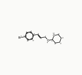 Brc1ccc(C=CCOC2CCCCO2)cc1